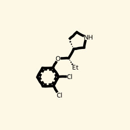 CC[C@H](Oc1cccc(Cl)c1Cl)[C@@H]1CCNC1